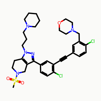 CS(=O)(=O)N1CCc2c(c(-c3ccc(Cl)c(C#Cc4ccc(Cl)c(CN5CCOCC5)c4)c3)nn2CCCN2CCCCC2)C1